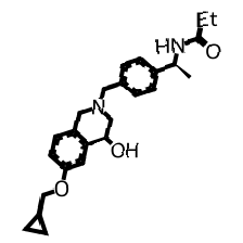 CCC(=O)N[C@@H](C)c1ccc(CN2Cc3ccc(OCC4CC4)cc3C(O)C2)cc1